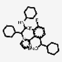 COC(c1ccc(F)c(F)c1-c1nccn1C(C(=O)NC1CCCCC1)C1CCCCC1)C1CCCCC1